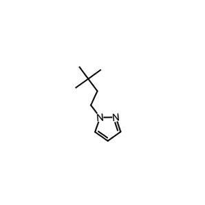 CC(C)(C)CCn1cccn1